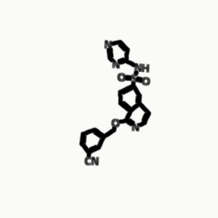 N#Cc1cccc(COc2nccc3cc(S(=O)(=O)Nc4ccncn4)ccc23)c1